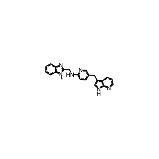 Cn1c(CNc2ccc(Cc3c[nH]c4ncccc34)cn2)nc2ccccc21